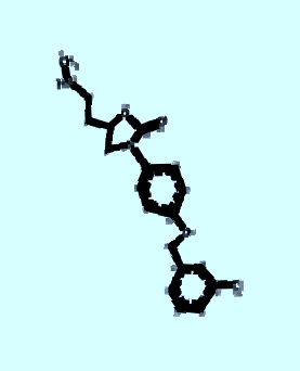 CNCCC1CN(c2ccc(OCc3cccc(Cl)c3)cc2)C(=O)O1